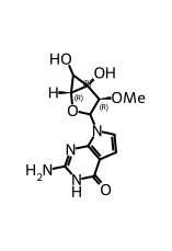 CO[C@H]1C(n2ccc3c(=O)[nH]c(N)nc32)O[C@@H]2C(O)[C@@]21O